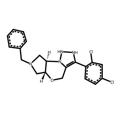 Clc1ccc(C2=C3CO[C@@H]4CN(Cc5ccccc5)C[C@H]4N3NN2)c(Cl)c1